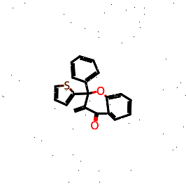 C=C1C(=O)c2ccccc2OC1(c1ccccc1)c1cccs1